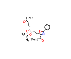 CCCCCC(=O)c1nc(-c2ccccc2)oc1/C=C/[C@H]1OC(C)(C)O[C@H]1CCCC(=O)OC